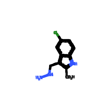 NNCc1c(C(=O)O)[nH]c2ccc(Cl)cc12